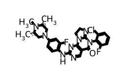 C[C@@H]1CN(c2ccc(Nc3ncc4c(n3)N3CCN=C3N(c3c(F)cccc3Cl)C4=O)c(F)c2)C[C@H](C)N1C